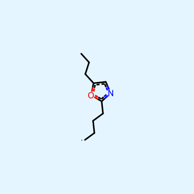 [CH2]CCCc1ncc(CCC)o1